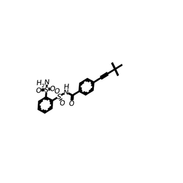 CC(C)(C)C#Cc1ccc(C(=O)NS(=O)(=O)c2ccccc2S(N)(=O)=O)cc1